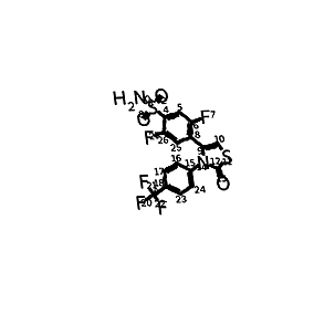 NS(=O)(=O)c1cc(F)c(-c2csc(=O)n2-c2ccc(C(F)(F)F)cc2)cc1F